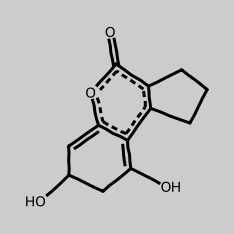 O=c1oc2c(c3c1CCC3)=C(O)CC(O)C=2